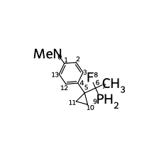 CNc1ccc(C2(C(C)(F)P)CC2)cc1